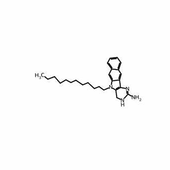 CCCCCCCCCCCCn1c2c(c3cc4ccccc4cc31)N=C(N)NC2